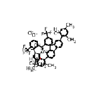 Cc1cc(C)c(-c2ccc3c(c2)Cc2c-3ccc(-c3c(C)cc(C)cc3C)[c]2[Zr+2]([C]2=CC(C(C)(C)C)=CC2C(C)C)=[C](c2cccc(C(F)(F)F)c2)c2cccc(C(F)(F)F)c2)c(C)c1.[Cl-].[Cl-]